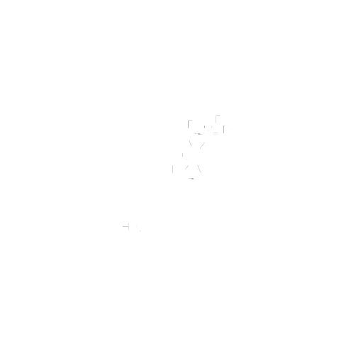 CC[C@H]1CC[C@H](C2CCC(c3c(F)c[c]c(Oc4ccc(OC(F)(F)F)c(F)c4)c3F)CC2)CC1